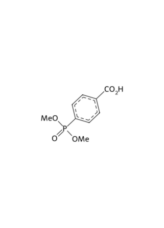 COP(=O)(OC)c1ccc(C(=O)O)cc1